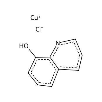 Oc1cccc2cccnc12.[Cl-].[Cu+]